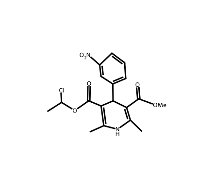 COC(=O)C1=C(C)NC(C)=C(C(=O)OC(C)Cl)C1c1cccc([N+](=O)[O-])c1